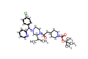 CC(C)[C@H]1CN(C(c2ccc(Cl)cc2)c2ccccn2)CCN1C(=O)CC1CCN(C(=O)OC(C)(C)C)CC1